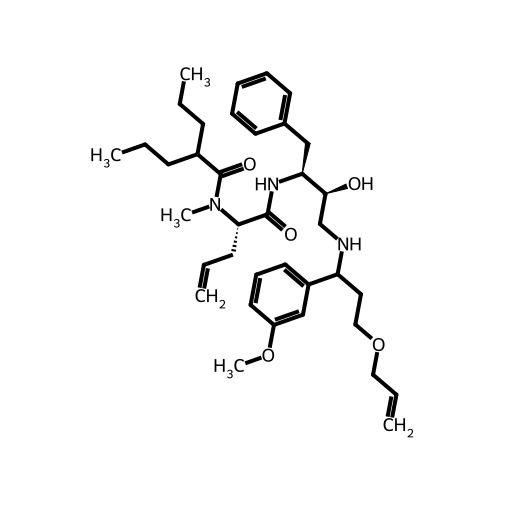 C=CCOCCC(NC[C@H](O)[C@H](Cc1ccccc1)NC(=O)[C@H](CC=C)N(C)C(=O)C(CCC)CCC)c1cccc(OC)c1